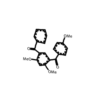 COc1ccc(C(=O)c2cc(C(=O)c3ccccc3)c(OC)cc2OC)cc1